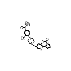 CCc1cc(C(=O)NC(C)C)ccc1N1CCN(Cc2cnc3c(c2)[nH]c(=O)n2cccc32)CC1